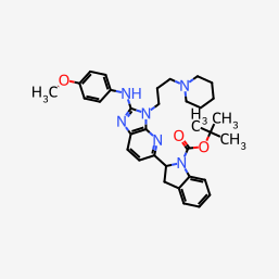 COc1ccc(Nc2nc3ccc(C4Cc5ccccc5N4C(=O)OC(C)(C)C)nc3n2CCCN2CCCCC2)cc1